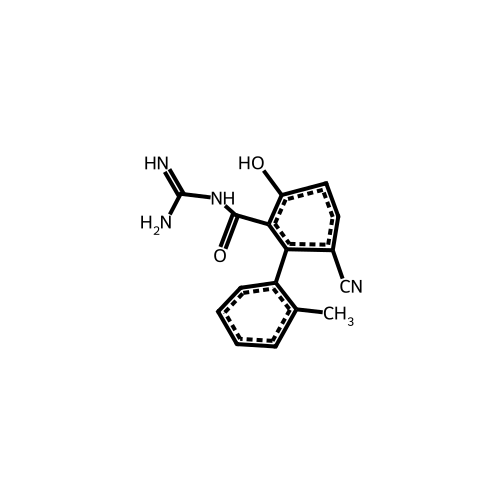 Cc1ccccc1-c1c(C#N)ccc(O)c1C(=O)NC(=N)N